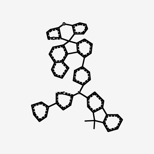 CC1(C)c2ccccc2-c2ccc(N(c3ccc(-c4ccccc4)cc3)c3ccc(-c4cccc5c4-c4c(ccc6ccccc46)C54c5ccccc5Oc5ccccc54)cc3)cc21